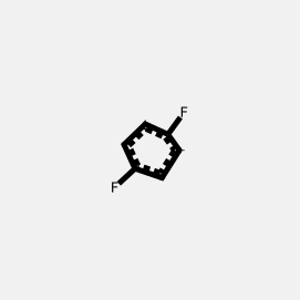 Fc1[c]cc(F)c[c]1